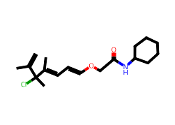 C=C(C)C(C)(Cl)/C(C)=C/C=C/OCC(=O)NC1CCCCC1